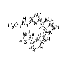 CCNCc1cncc(-c2cc3c(-c4cc5c(-c6ccncc6)cccc5[nH]4)n[nH]c3cn2)c1